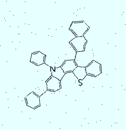 c1ccc(-c2ccc3c4c5sc6ccccc6c5c(-c5ccc6ccccc6c5)cc4n(-c4ccccc4)c3c2)cc1